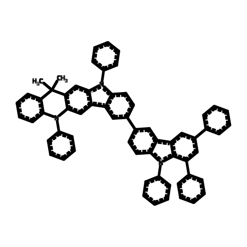 CC1(C)c2ccccc2N(c2ccccc2)c2cc3c4cc(-c5ccc6c(c5)c5cc(-c7ccccc7)cc(-c7ccccc7)c5n6-c5ccccc5)ccc4n(-c4ccccc4)c3cc21